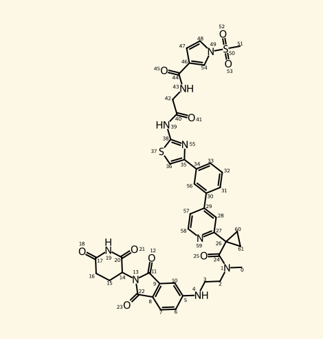 CN(CCNc1ccc2c(c1)C(=O)N(C1CCC(=O)NC1=O)C2=O)C(=O)C1(c2cc(-c3cccc(-c4csc(NC(=O)CNC(=O)c5ccn(S(C)(=O)=O)c5)n4)c3)ccn2)CC1